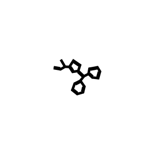 C=CC(C)C1=CC(=C(c2ccccc2)c2ccccc2)C=C1